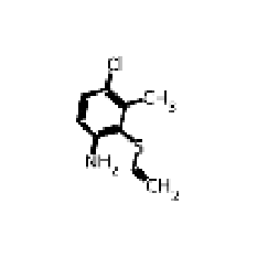 C=CSc1c(N)ccc(Cl)c1C